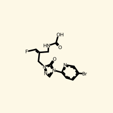 O=C(O)NC/C(=C/F)Cn1ncn(-c2ccc(Br)cn2)c1=O